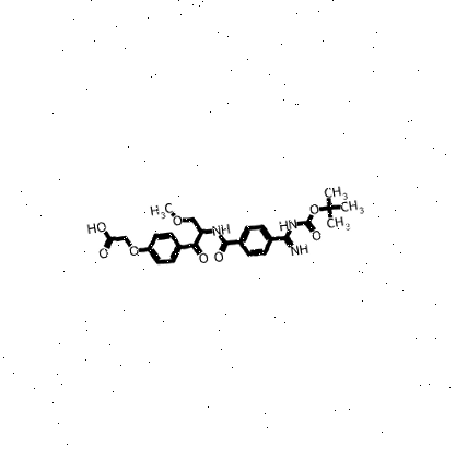 COCC(NC(=O)c1ccc(C(=N)NC(=O)OC(C)(C)C)cc1)C(=O)c1ccc(OCC(=O)O)cc1